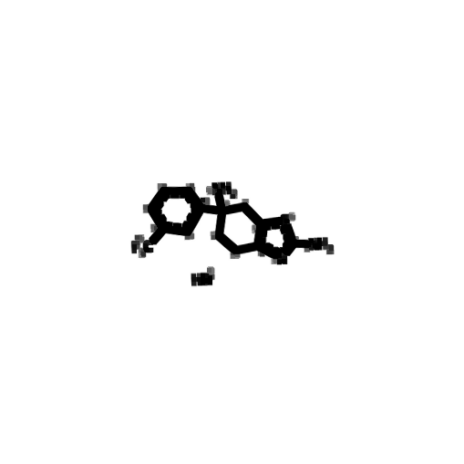 Br.Nc1nc2c(s1)CC(N)(c1cccc(C(F)(F)F)c1)CC2